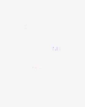 C=CC(=O)NC1CCSC1